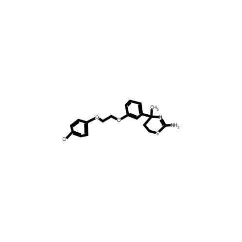 CC1(c2cccc(OCCOc3ccc(Cl)cc3)c2)CCSC(N)=N1